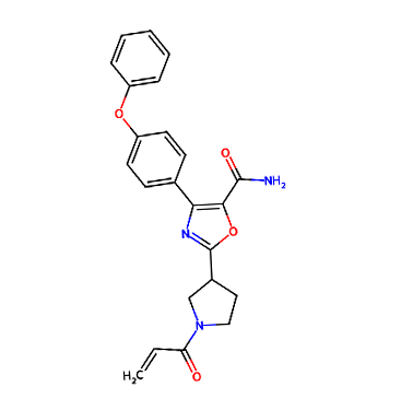 C=CC(=O)N1CCC(c2nc(-c3ccc(Oc4ccccc4)cc3)c(C(N)=O)o2)C1